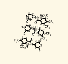 Cc1cc(NC(=O)c2ccc(C(F)(F)F)cc2C(=O)O)cc(C)n1.Cc1ccc(NC(=O)c2cc(C(F)(F)F)c(C(F)(F)F)cc2C(=O)O)nc1C.Cc1nccc(NC(=O)c2cc(C(F)(F)F)c(C(F)(F)F)cc2C(=O)O)n1